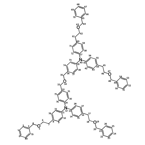 c1ccc(COCCc2ccc(N(c3ccc(CCOCc4ccccc4)cc3)c3ccc(COCc4ccc(N(c5ccc(CCOCc6ccccc6)cc5)c5ccc(CCOCc6ccccc6)cc5)cc4)cc3)cc2)cc1